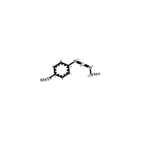 CCCCCCN=C=Nc1ccc(SC)cc1